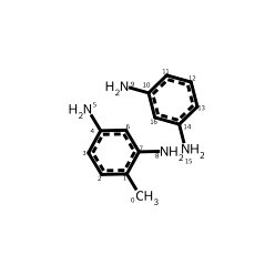 Cc1ccc(N)cc1N.Nc1cccc(N)c1